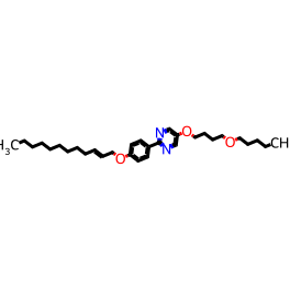 CCCCCCCCCC=CCOc1ccc(-c2ncc(OCCCCOCCCCC)cn2)cc1